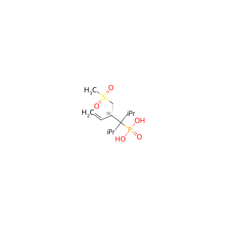 C=C[C@H](CS(C)(=O)=O)C(C(C)C)(C(C)C)P(=O)(O)O